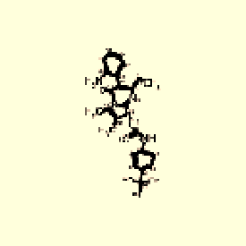 CCc1nc2n(CC(=O)Nc3ccc(C(F)(F)F)cc3)c(C)c(C)n2c(=O)c1-c1ccccc1N